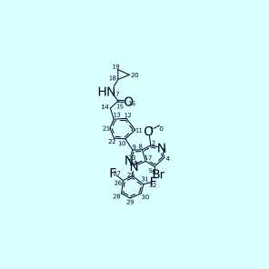 COc1ncc(Br)c2c1c(-c1ccc(CC(=O)NC3CC3)cc1)nn2-c1c(F)cccc1F